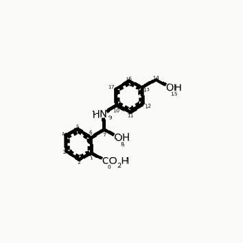 O=C(O)c1ccccc1C(O)Nc1ccc(CO)cc1